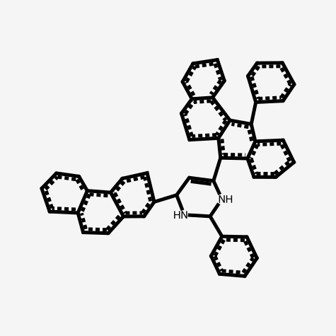 C1=C(c2c3ccccc3c(-c3ccccc3)c3c2ccc2ccccc23)NC(c2ccccc2)NC1c1ccc2c(ccc3ccccc32)c1